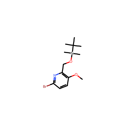 COc1ccc(Br)nc1CO[Si](C)(C)C(C)(C)C